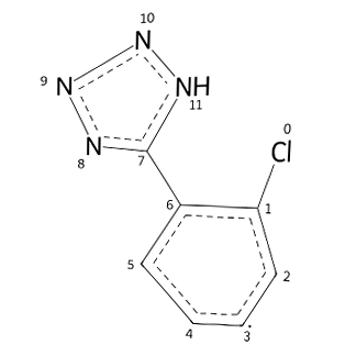 Clc1c[c]ccc1-c1nnn[nH]1